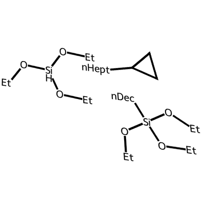 CCCCCCCC1CC1.CCCCCCCCCC[Si](OCC)(OCC)OCC.CCO[SiH](OCC)OCC